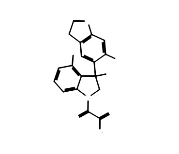 O=C(O)C(=O)N1CC(O)(c2cc3c(cc2O)OCC3)c2c(Cl)cccc21